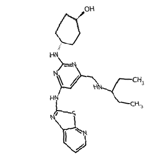 CCC(CC)NCc1cc(Nc2nc3cccnc3s2)nc(N[C@H]2CC[C@H](O)CC2)n1